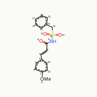 COc1ccc(/C=C/C(=O)NS(=O)(=O)Cc2ccccc2)cc1